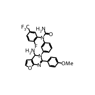 COc1ccc(C2=Nc3occc3C(N)N2c2cccc(N(C(N)=O)c3cc(C(F)(F)F)ccc3F)c2)cc1